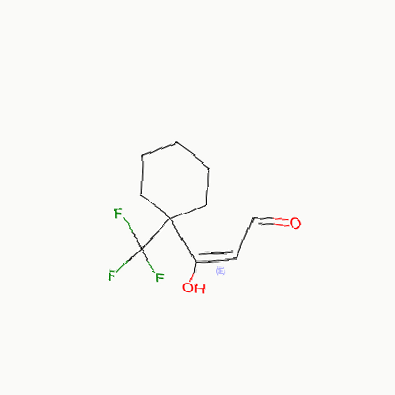 O=C/C=C(/O)C1(C(F)(F)F)CCCCC1